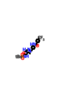 C=C(C)/C(CC(=O)NS(=O)(=O)C(C)(C)C)=C(/C)N(N)Cc1ccc(NC(=O)c2ccc(C(F)(F)F)cc2)cc1